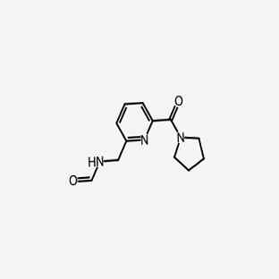 O=CNCc1cccc(C(=O)N2CCCC2)n1